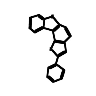 c1ccc(-c2cc3ccc4sc5ccccc5c4c3s2)cc1